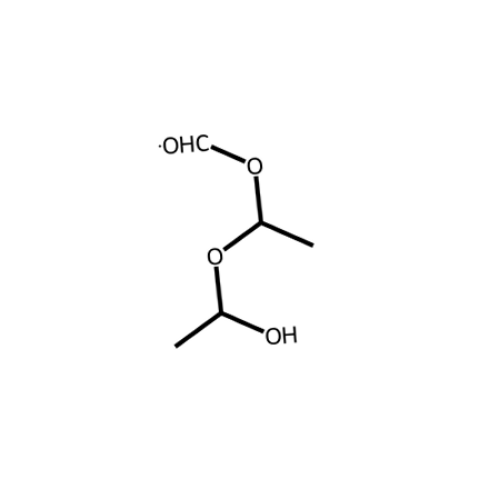 CC(O)OC(C)O[C]=O